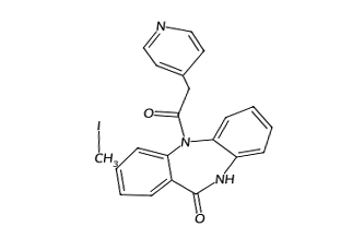 CI.O=C1Nc2ccccc2N(C(=O)Cc2ccncc2)c2ccccc21